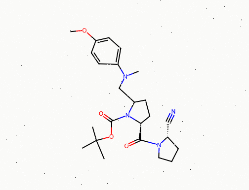 COc1ccc(N(C)CC2CC[C@@H](C(=O)N3CCC[C@H]3C#N)N2C(=O)OC(C)(C)C)cc1